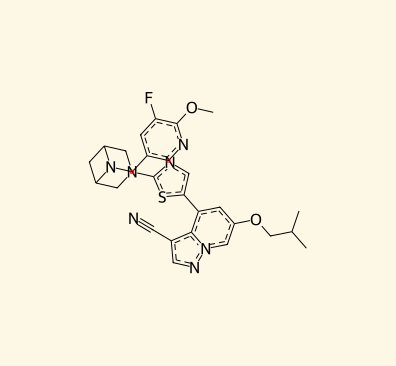 COc1ncc(CN2C3CC2CN(c2ncc(-c4cc(OCC(C)C)cn5ncc(C#N)c45)s2)C3)cc1F